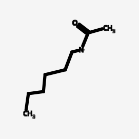 CCCCCC[N]C(C)=O